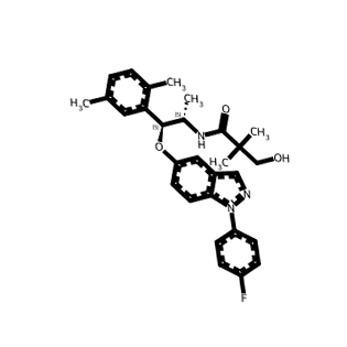 Cc1ccc(C)c([C@H](Oc2ccc3c(cnn3-c3ccc(F)cc3)c2)[C@H](C)NC(=O)C(C)(C)CO)c1